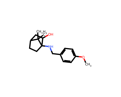 COc1ccc(CNC23CCC(CC2O)C3(C)C)cc1